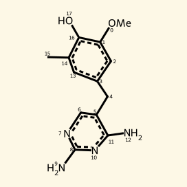 COc1cc(Cc2cnc(N)nc2N)cc(C)c1O